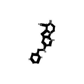 O=C1NCCn2c1cc1cc(OCc3ccccc3)cnc12